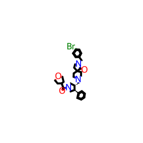 O=C(C1CCOCC1)N1C[C@H](CN2CCC3(CC2)CCN(Cc2ccc(Br)cc2)C3=O)[C@@H](c2ccccc2)C1